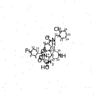 CC(=O)[N+]1(S(=O)(=O)c2ccc(F)cc2)c2ccc(C(=O)NCc3ccccc3Cl)cc2C2(CCNCC2)C1CCO